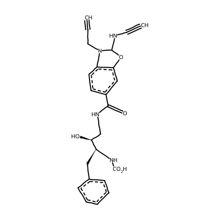 C#CCN1c2ccc(C(=O)NC[C@H](O)[C@H](Cc3ccccc3)NC(=O)O)cc2OC1NC#C